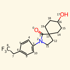 O=C1N(c2ccc(CC(F)(F)F)cc2)CCC12CCC(O)CC2